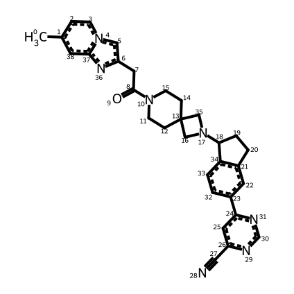 Cc1ccn2cc(CC(=O)N3CCC4(CC3)CN(C3CCc5cc(-c6cc(C#N)ncn6)ccc53)C4)nc2c1